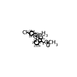 CC(=O)OCc1c(C)c(S(=O)(=O)Cc2ccc(Cl)cc2)n2ccccc12